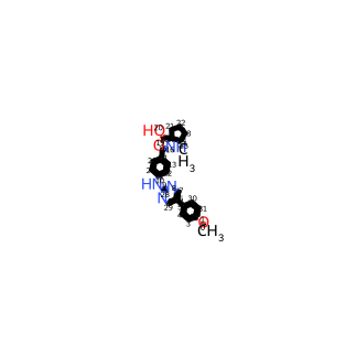 COc1ccc(-c2cnc(Nc3ccc(CNC4(C(=O)O)CCCC4C)cc3)nc2)cc1